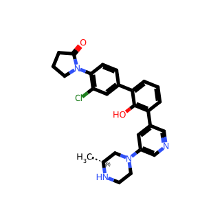 C[C@@H]1CN(c2cncc(-c3cccc(-c4ccc(N5CCCC5=O)c(Cl)c4)c3O)c2)CCN1